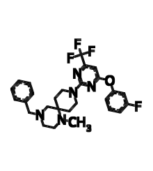 CN1CCN(Cc2ccccc2)CC12CCN(c1nc(Oc3cccc(F)c3)cc(C(F)(F)F)n1)CC2